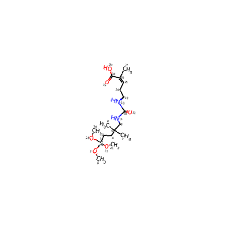 CO[Si](CCC(C)(C)CNC(=O)NCCC=C(C)C(=O)O)(OC)OC